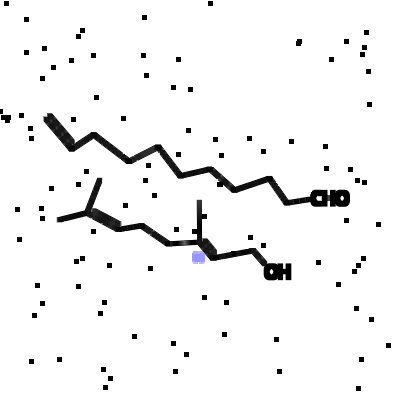 C=CCCCCCCCCC=O.CC(C)=CCC/C(C)=C/CO